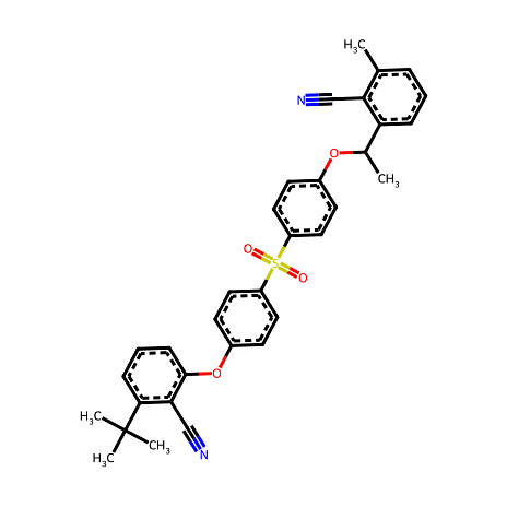 Cc1cccc(C(C)Oc2ccc(S(=O)(=O)c3ccc(Oc4cccc(C(C)(C)C)c4C#N)cc3)cc2)c1C#N